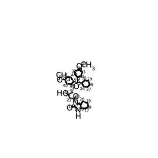 COc1ccc(C(OC[C@H]2O[C@@H](n3c(=O)[nH]c4ccccc43)C[C@H]2O)(c2ccccc2)c2ccc(OC)cc2)cc1